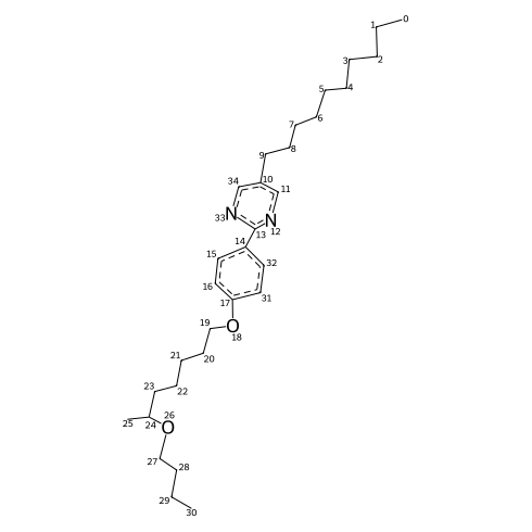 CCCCCCCCCCc1cnc(-c2ccc(OCCCCCC(C)OCCCC)cc2)nc1